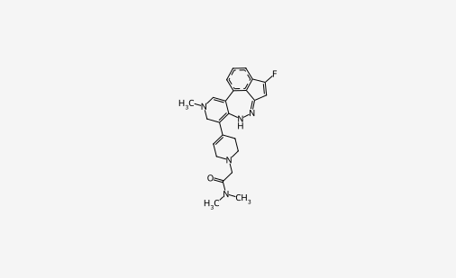 CN1C=C2C(=C(C3=CCN(CC(=O)N(C)C)CC3)C1)NN=C1C=C(F)c3cccc2c31